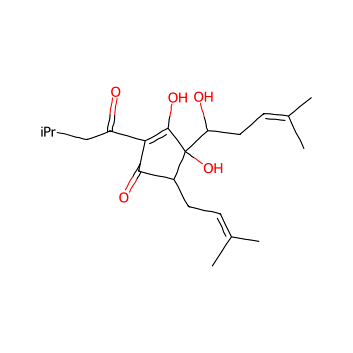 CC(C)=CCC(O)C1(O)C(O)=C(C(=O)CC(C)C)C(=O)C1CC=C(C)C